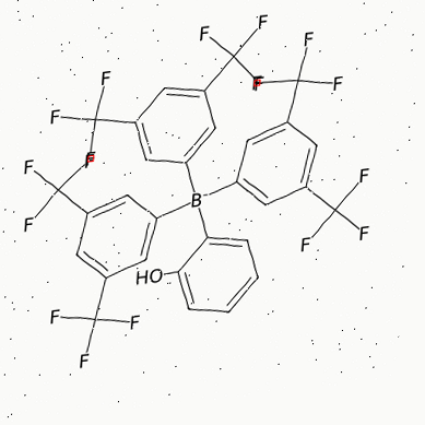 Oc1ccccc1[B-](c1cc(C(F)(F)F)cc(C(F)(F)F)c1)(c1cc(C(F)(F)F)cc(C(F)(F)F)c1)c1cc(C(F)(F)F)cc(C(F)(F)F)c1